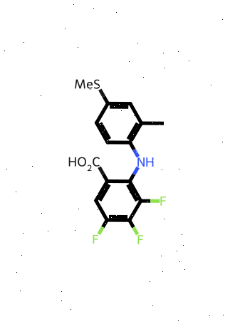 CSc1ccc(Nc2c(C(=O)O)cc(F)c(F)c2F)c(C)c1